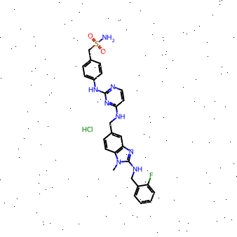 Cl.Cn1c(NCc2ccccc2F)nc2cc(CNc3ccnc(Nc4ccc(CS(N)(=O)=O)cc4)n3)ccc21